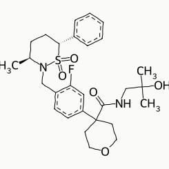 C[C@H]1CC[C@H](c2ccccc2)S(=O)(=O)N1Cc1ccc(C2(C(=O)NCC(C)(C)O)CCOCC2)cc1F